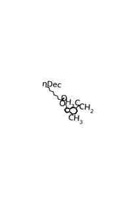 C=C(C)c1ccc(C)c2ccc(COC(=O)CCCCCCCCCCCCCCCCC)c-2c1